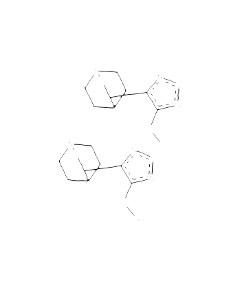 CCCOc1nsnc1C1CN2CCC1CC2.CCOc1nsnc1C1CN2CCC1CC2